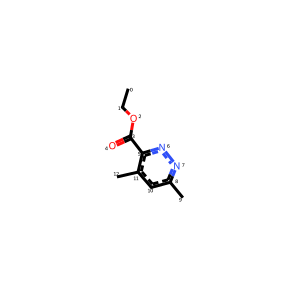 CCOC(=O)c1nnc(C)cc1C